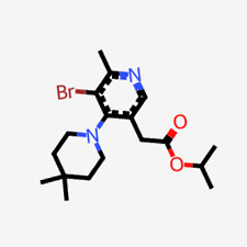 Cc1ncc(CC(=O)OC(C)C)c(N2CCC(C)(C)CC2)c1Br